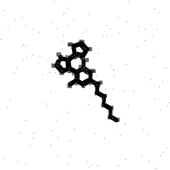 CCCCCCOc1cc(C)c(-c2ccsc2-c2cccs2)c(C)c1